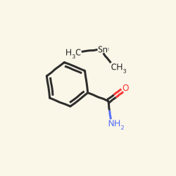 NC(=O)c1ccccc1.[CH3][Sn][CH3]